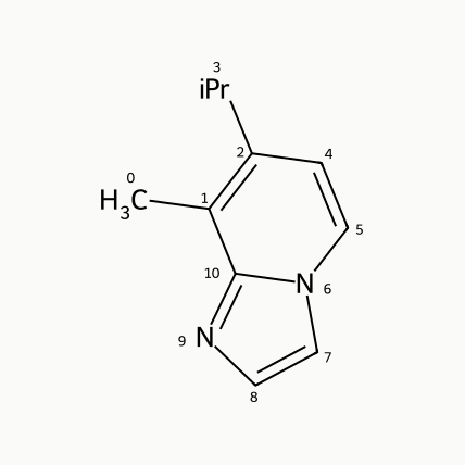 Cc1c(C(C)C)ccn2ccnc12